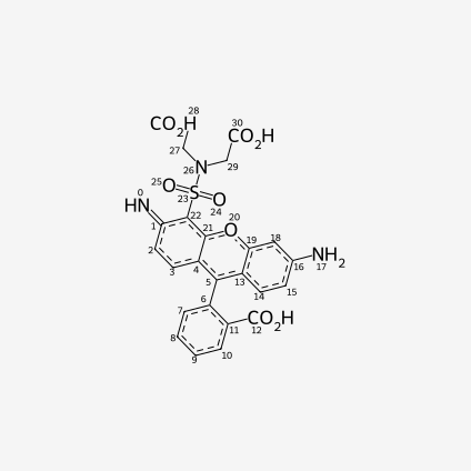 N=c1ccc2c(-c3ccccc3C(=O)O)c3ccc(N)cc3oc-2c1S(=O)(=O)N(CC(=O)O)CC(=O)O